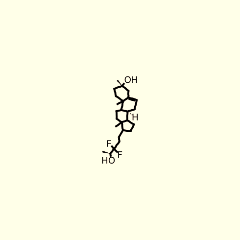 C[C@H](O)C(F)(F)CCC1CCC2[C@@H]3CC=C4C[C@@](C)(O)CCC4(C)C3CCC12C